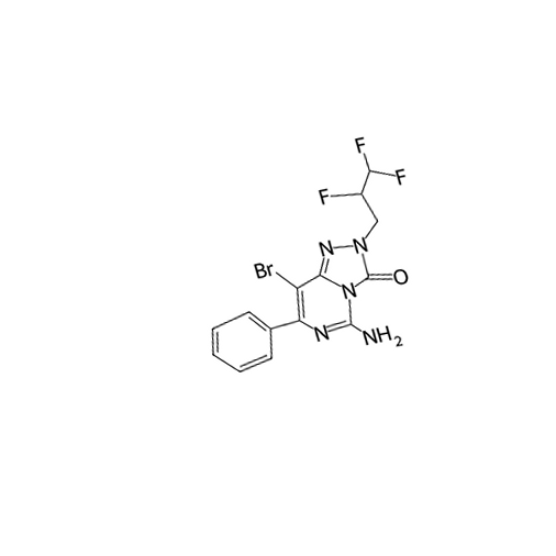 Nc1nc(-c2ccccc2)c(Br)c2nn(CC(F)C(F)F)c(=O)n12